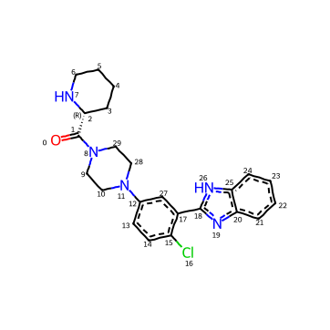 O=C([C@H]1CCCCN1)N1CCN(c2ccc(Cl)c(-c3nc4ccccc4[nH]3)c2)CC1